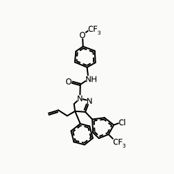 C=CCC1(c2ccccc2)CN(C(=O)Nc2ccc(OC(F)(F)F)cc2)N=C1c1ccc(C(F)(F)F)c(Cl)c1